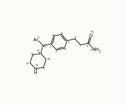 CC(=O)N(c1ccc(CCC(N)=O)cc1)N1CCNCC1